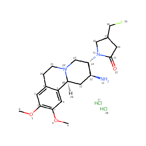 COc1cc2c(cc1OC)[C@@H]1C[C@H](N)[C@@H](N3CC(CF)CC3=O)CN1CC2.Cl.Cl